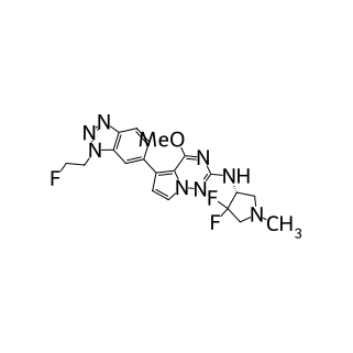 COc1nc(N[C@@H]2CN(C)CC2(F)F)nn2ccc(-c3ccc4nnn(CCF)c4c3)c12